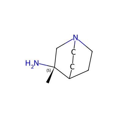 C[C@@]1(N)CN2CCC1CC2